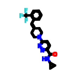 O=C(NC1CC1)c1ccc(N2CCC(=Cc3ccccc3C(F)(F)F)CC2)nn1